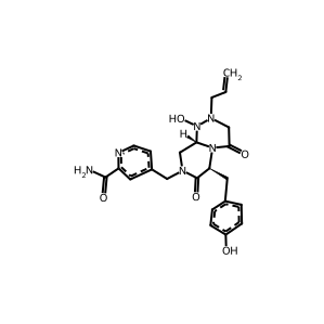 C=CCN1CC(=O)N2[C@@H](Cc3ccc(O)cc3)C(=O)N(Cc3ccnc(C(N)=O)c3)C[C@@H]2N1O